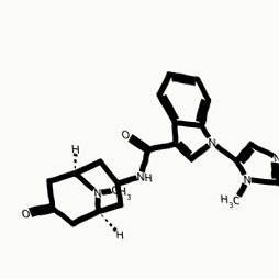 CN1[C@@H]2CC(=O)C[C@H]1CC(NC(=O)c1cn(-c3cncn3C)c3ccccc13)C2